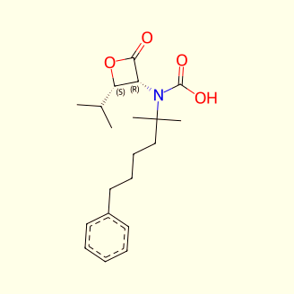 CC(C)[C@@H]1OC(=O)[C@@H]1N(C(=O)O)C(C)(C)CCCCc1ccccc1